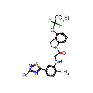 CCOC(=O)C(F)(F)Oc1cccc2c1CCN2C(=O)CNc1cc(-c2nc(CC)ns2)ccc1C